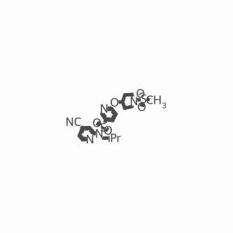 CC(C)CN(c1cc(C#N)ccn1)S(=O)(=O)c1ccc(OC2CCN(S(C)(=O)=O)CC2)nc1